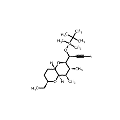 CC[C@H]1CC[C@@H]2O[C@@H]([C@H](C#CI)O[Si](C)(C)C(C)(C)C)[C@@H](C)[C@@H](C)[C@H]2O1